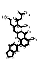 CCCC(CC1CC(=O)c2c(C)ccc(-c3ccc4c(c3)CCC4)c2C1)C(CC)C(=O)CC(C)=O